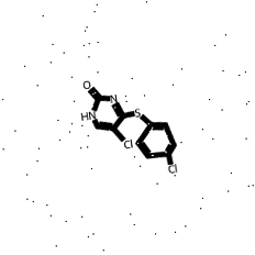 O=c1nc(Sc2ccc(Cl)cc2)c(Cl)c[nH]1